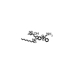 CCCCCCCCc1csc(N2c3ccc(S(=O)(=O)N(CCN)c4ccccc4)cc3CC2CC(O)c2cc(C)no2)n1